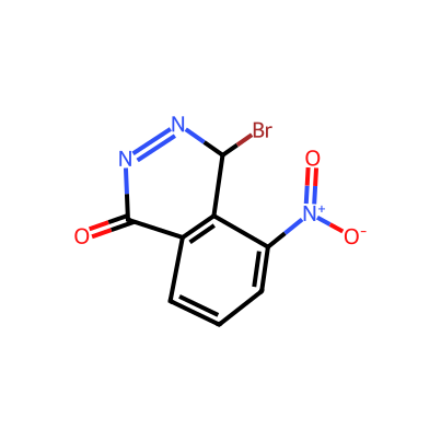 O=C1N=NC(Br)c2c1cccc2[N+](=O)[O-]